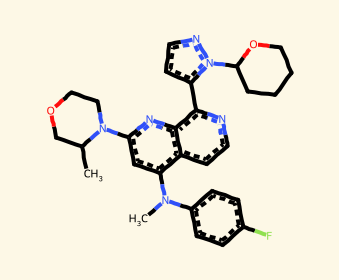 CC1COCCN1c1cc(N(C)c2ccc(F)cc2)c2ccnc(-c3ccnn3C3CCCCO3)c2n1